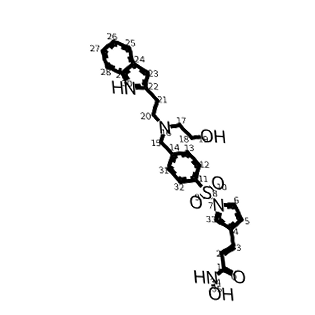 O=C(C=Cc1ccn(S(=O)(=O)c2ccc(CN(CCO)CCc3cc4ccccc4[nH]3)cc2)c1)NO